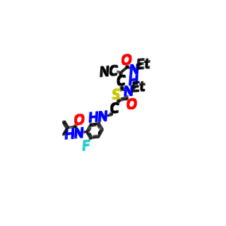 C=C(C)C(=O)Nc1cc(NC=C=c2sc(=C=C(C#N)C(=O)NCC)n(CC)c2=O)ccc1F